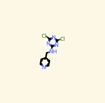 Clc1nc(Cl)nc(NCc2ccncc2)n1